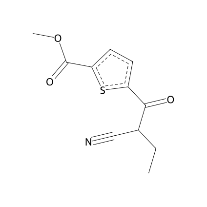 CCC(C#N)C(=O)c1ccc(C(=O)OC)s1